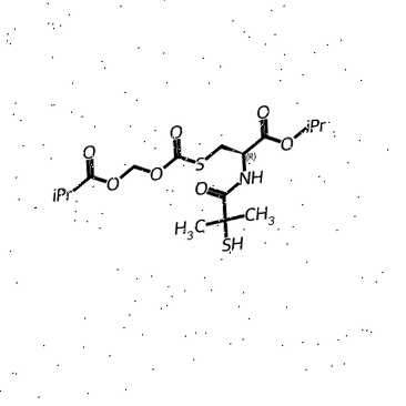 CC(C)OC(=O)[C@H](CSC(=O)OCOC(=O)C(C)C)NC(=O)C(C)(C)S